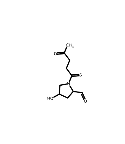 CC(=O)CCC(=S)N1CC(O)CC1C=O